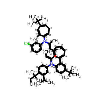 C\C=C(/C=C(C)\C=C(/C)N(C1=CCC=C(C(C)(C)C)C=C1C)c1cccc(Cl)c1)N(c1ccc(C(C)(C)CC)c(C(C)C)c1)c1ccc(C(C)(C)C)cc1C1=CC=CCC=C1